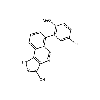 COc1ccc(Cl)cc1-c1cccc2c1nnc1c(O)n[nH]c12